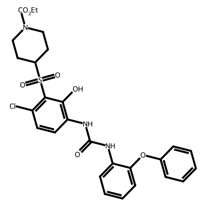 CCOC(=O)N1CCC(S(=O)(=O)c2c(Cl)ccc(NC(=O)Nc3ccccc3Oc3ccccc3)c2O)CC1